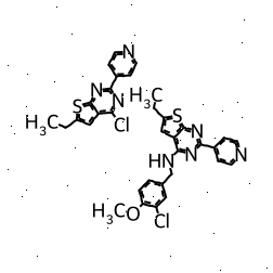 CCc1cc2c(Cl)nc(-c3ccncc3)nc2s1.CCc1cc2c(NCc3ccc(OC)c(Cl)c3)nc(-c3ccncc3)nc2s1